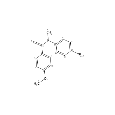 COc1ccc(C(=O)C(C)c2ccc(N)cc2)cc1